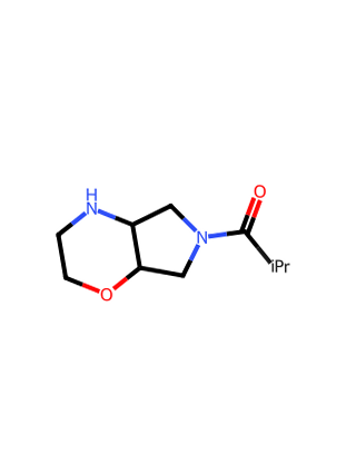 CC(C)C(=O)N1CC2NCCOC2C1